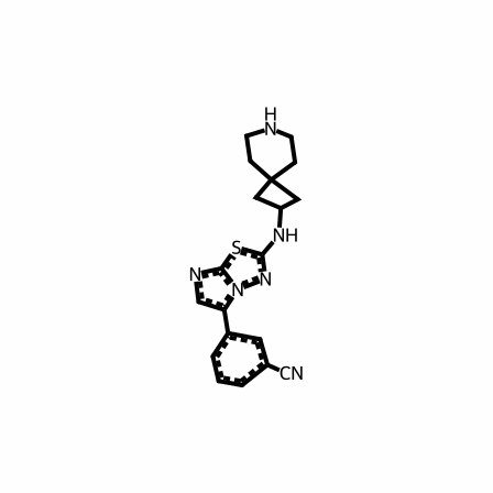 N#Cc1cccc(-c2cnc3sc(NC4CC5(CCNCC5)C4)nn23)c1